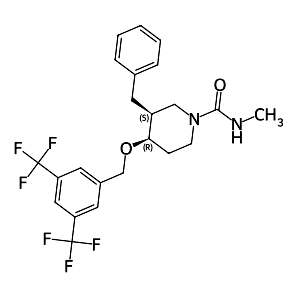 CNC(=O)N1CC[C@@H](OCc2cc(C(F)(F)F)cc(C(F)(F)F)c2)[C@@H](Cc2ccccc2)C1